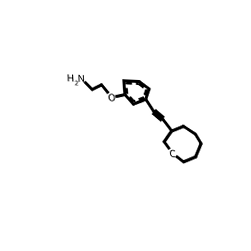 NCCOc1cccc(C#CC2CCCCCCC2)c1